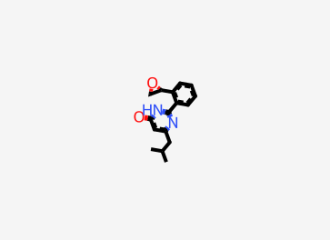 CC(C)Cc1cc(=O)[nH]c(-c2ccccc2C2CO2)n1